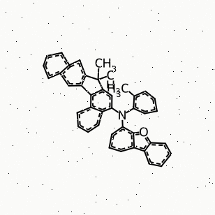 Cc1ccccc1N(c1cc2c(c3ccccc13)-c1cc3ccccc3cc1C2(C)C)c1cccc2c1oc1ccccc12